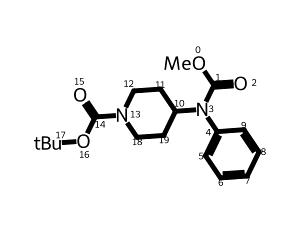 COC(=O)N(c1ccccc1)C1CCN(C(=O)OC(C)(C)C)CC1